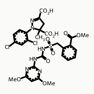 CC1(C(=O)O)CC(C(=O)O)=NN1c1ccc(Cl)cc1Cl.COC(=O)c1ccccc1CS(=O)(=O)NC(=O)Nc1nc(OC)cc(OC)n1